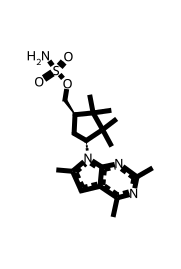 Cc1nc(C)c2cc(C)n([C@@H]3C[C@@H](COS(N)(=O)=O)C(C)(C)C3(C)C)c2n1